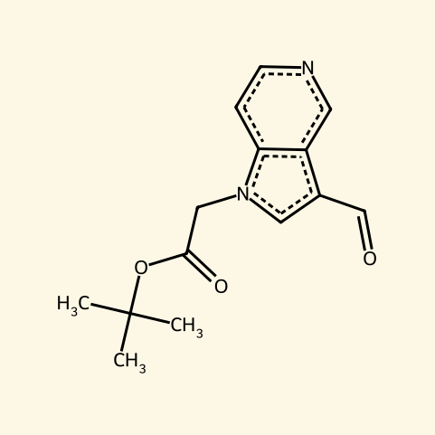 CC(C)(C)OC(=O)Cn1cc(C=O)c2cnccc21